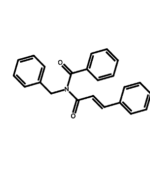 O=C(C=Cc1ccccc1)N(Cc1ccccc1)C(=O)c1ccccc1